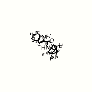 C[C@H]1[C@@H]2C3[C@H](C[C@]31NC(=O)c1cc3scnc3[nH]1)C2(C)C